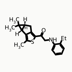 CCc1ccccc1NCC(=O)c1sc(C)c2c1C[C@@H]1[C@H]2C1(C)C